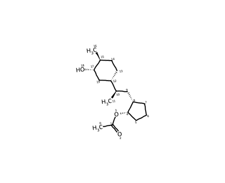 CC(=O)O[C@H]1CCC[C@H]1C[C@@H](C)[C@H]1CC[C@H](C)[C@@H](O)C1